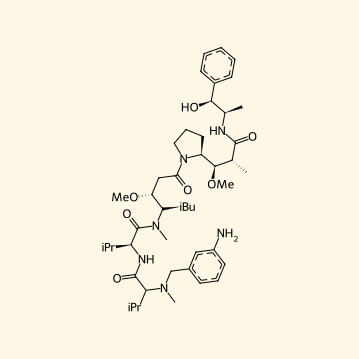 CC[C@H](C)C([C@@H](CC(=O)N1CCC[C@H]1[C@H](OC)[C@@H](C)C(=O)N[C@H](C)[C@@H](O)c1ccccc1)OC)N(C)C(=O)[C@@H](NC(=O)C(C(C)C)N(C)Cc1cccc(N)c1)C(C)C